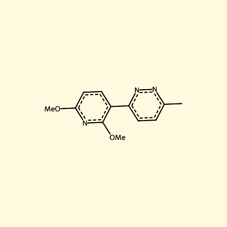 COc1ccc(-c2ccc(C)nn2)c(OC)n1